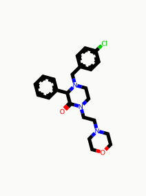 O=C1C(c2ccccc2)N(Cc2ccc(Cl)cc2)CCN1CCN1CCOCC1